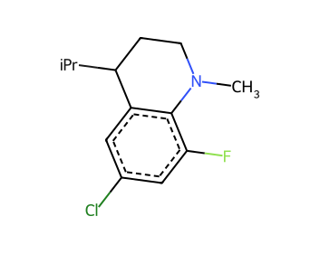 CC(C)C1CCN(C)c2c(F)cc(Cl)cc21